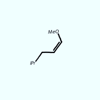 CO/C=C\CC(C)C